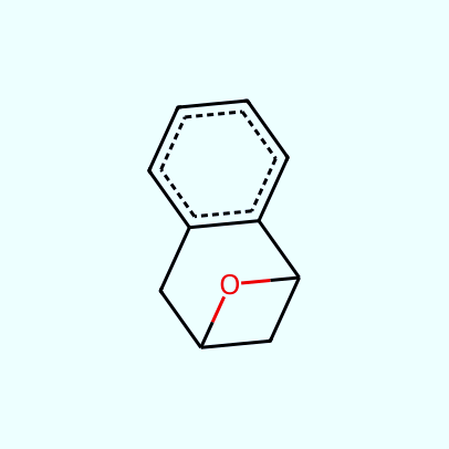 c1ccc2c(c1)CC1CC2O1